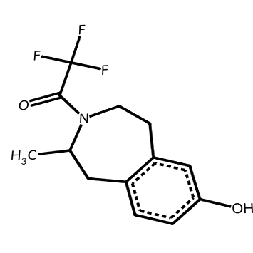 CC1Cc2ccc(O)cc2CCN1C(=O)C(F)(F)F